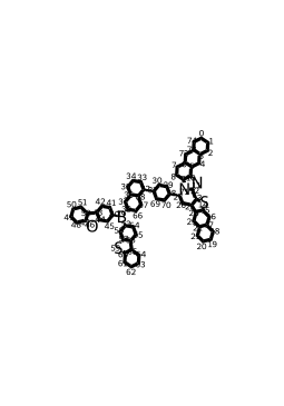 c1ccc2cc3c(ccc4c3nc3c5sc6cc7ccccc7cc6c5cc(-c5ccc(-c6cccc7cc(B(c8ccc9c(c8)oc8ccccc89)c8ccc9c(c8)sc8ccccc89)ccc67)cc5)n43)cc2c1